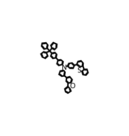 c1ccc(C(c2ccccc2)(c2ccccc2)c2ccc(-c3ccc(N(c4ccc(-c5cccc6c5sc5ccccc56)cc4)c4cccc(-c5ccc6oc7ccccc7c6c5)c4)cc3)cc2)cc1